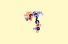 CCNC(=O)[C@H]1O[C@@H](n2cnc3c(N)nc(CCC4CCN(C(=O)OC5CCC(=O)N5)CC4)nc32)C(O)C1O